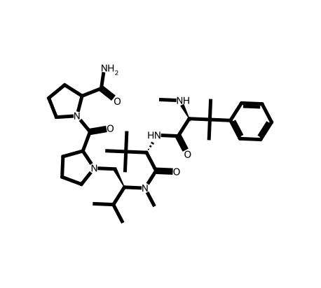 CN[C@H](C(=O)N[C@H](C(=O)N(C)[C@H](CN1CCCC1C(=O)N1CCCC1C(N)=O)C(C)C)C(C)(C)C)C(C)(C)c1ccccc1